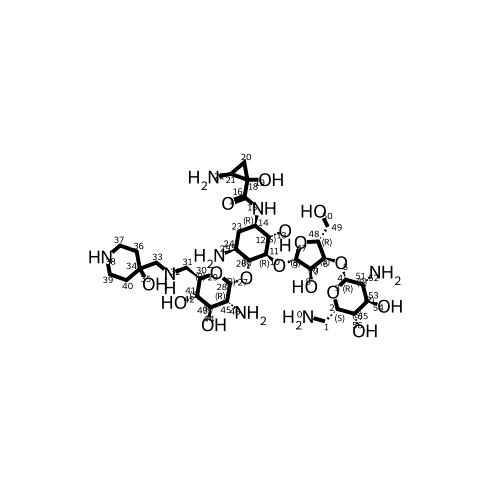 NC[C@@H]1O[C@H](O[C@H]2[C@@H](O)[C@H](O[C@@H]3[C@@H](O)[C@H](NC(=O)C4(O)CC4N)C[C@H](N)[C@H]3O[C@H]3O[C@H](CNCC4(O)CCNCC4)[C@@H](O)[C@H](O)[C@H]3N)O[C@@H]2CO)[C@H](N)[C@@H](O)[C@@H]1O